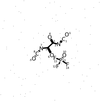 O=C=NC(=O)C(=O)N=C=O.O=P(F)(F)F